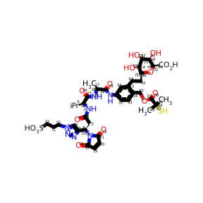 CC(C)[C@H](NC(=O)C[C@@H](c1cn(CCCS(=O)(=O)O)nn1)N1C(=O)C=CC1=O)C(=O)N[C@@H](C)C(=O)Nc1ccc(COC(=O)C(C)(C)S)c(CC[C@@H]2O[C@H](C(=O)O)[C@@H](O)[C@H](O)[C@H]2O)c1